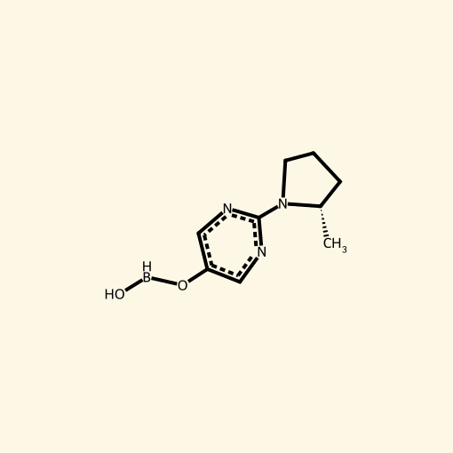 C[C@H]1CCCN1c1ncc(OBO)cn1